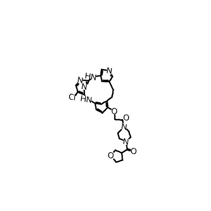 O=C(COc1ccc2cc1CCc1cncc(c1)Nc1ncc(Cl)c(n1)N2)N1CCN(C(=O)C2CCOC2)CC1